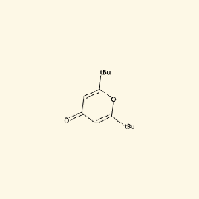 CC(C)(C)c1cc(=O)cc(C(C)(C)C)o1